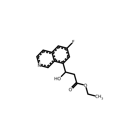 CCOC(=O)CC(O)c1cc(F)cc2ccncc12